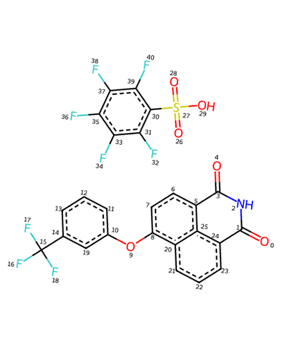 O=C1NC(=O)c2ccc(Oc3cccc(C(F)(F)F)c3)c3cccc1c23.O=S(=O)(O)c1c(F)c(F)c(F)c(F)c1F